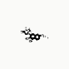 COc1ccc2cc(O)c(N3CC(=O)NS3(=O)=O)cc2c1.[KH]